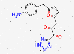 Nc1ccc(Cc2ccc(CC(=O)C(=O)c3nn[nH]n3)o2)cc1